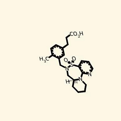 Cc1ccc(CCC(=O)O)cc1CN1C[C@@H]2CCCCN2c2ncccc2S1(=O)=O